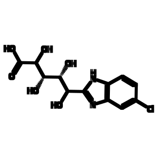 O=C(O)C(O)[C@@H](O)[C@H](O)C(O)c1nc2cc(Cl)ccc2[nH]1